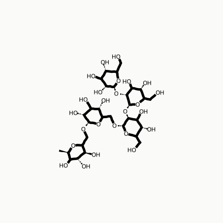 C[C@H]1OC(CO[C@H]2OC(CO[C@H]3OC(CO)[C@@H](O)C(O)[C@H]3O[C@H]3OC(CO)[C@@H](O)C(O)[C@H]3O[C@H]3OC(CO)[C@@H](O)C(O)[C@H]3O)[C@@H](O)C(O)[C@H]2O)[C@@H](O)[C@H](O)C1O